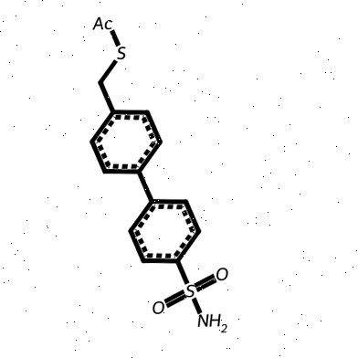 CC(=O)SCc1ccc(-c2ccc(S(N)(=O)=O)cc2)cc1